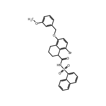 COc1cccc(COc2ccc(Br)c3c2CCCC3C(=O)NS(=O)(=O)c2cccc3ccccc23)c1